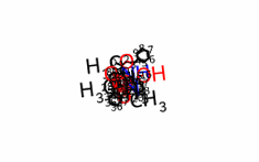 CC(OCc1ccccc1)C(NC(=O)C1(CO)CCC(C)N1C(=O)OC(C)(C)C)C(=O)OCc1ccccc1